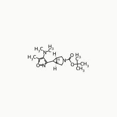 Cc1onc(C2[C@H]3CN(C(=O)OC(C)(C)C)C[C@@H]23)c1N(C)C